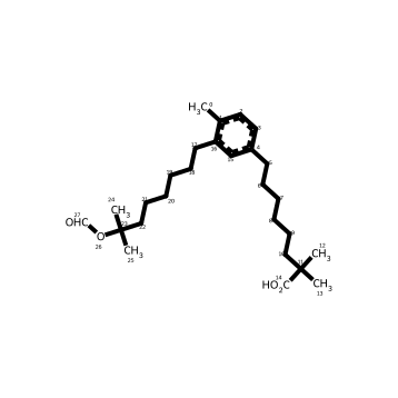 Cc1ccc(CCCCCCC(C)(C)C(=O)O)cc1CCCCCCC(C)(C)OC=O